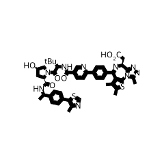 Cc1ncsc1-c1ccc(C(C)NC(=O)[C@@H]2C[C@@H](O)CN2C(=O)C(NC(=O)c2ccc(-c3ccc(C4=N[C@@H](CC(=O)O)c5nnc(C)n5-c5sc(C)c(C)c54)cc3)nc2)C(C)(C)C)cc1